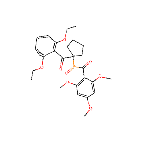 CCOc1cccc(OCC)c1C(=O)C1([P](=O)C(=O)c2c(OC)cc(OC)cc2OC)CCCC1